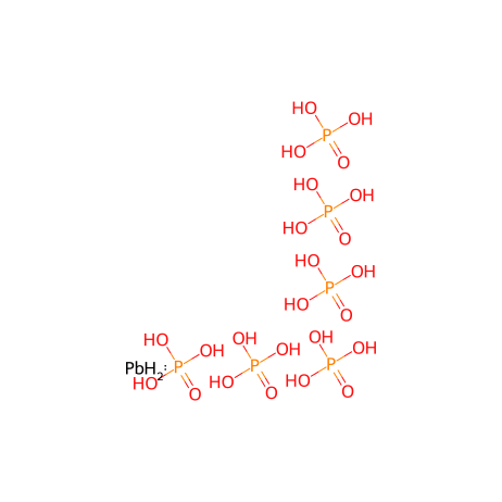 O=P(O)(O)O.O=P(O)(O)O.O=P(O)(O)O.O=P(O)(O)O.O=P(O)(O)O.O=P(O)(O)O.[PbH2]